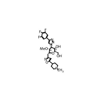 CO[C@@H]1[C@@H](n2cc(-c3cc(F)c(F)c(F)c3)nn2)[C@@H](O)[C@@H](CO)O[C@@H]1Cc1cc(C2CCN(C)CC2)on1